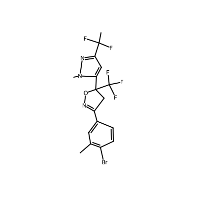 Cc1cc(C2=NOC(c3cc(C(C)(F)F)nn3C)(C(F)(F)F)C2)ccc1Br